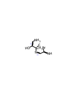 C[C@@H](/N=C\C(=N)Br)/C(O)=C\N